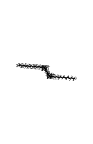 CCCCCCCCCCCCCC[N+](C)(C)CCCC[N+](C)(C)CCCCCCCCCCCCCC